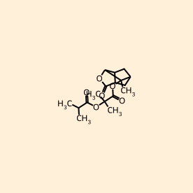 CC(C)C(=O)OC(C)(C)C(=O)OC1(C)C2CC3C(=O)OC1C3C2